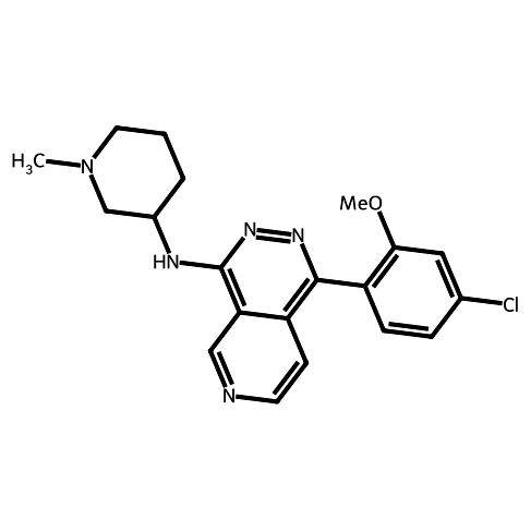 COc1cc(Cl)ccc1-c1nnc(NC2CCCN(C)C2)c2cnccc12